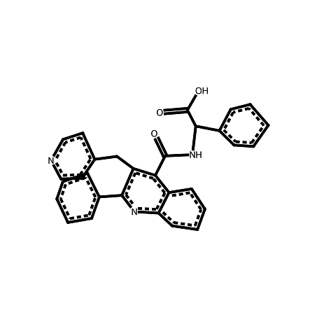 O=C(NC(C(=O)O)c1ccccc1)c1c(Cc2ccncc2)c(-c2ccccc2)nc2ccccc12